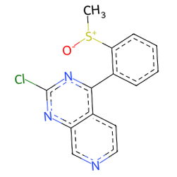 C[S+]([O-])c1ccccc1-c1nc(Cl)nc2cnccc12